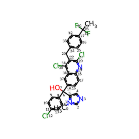 Cn1cncc1C(O)(c1ccc(Cl)cc1)c1ccc2nc(Cl)c(Cc3ccc(C(C)(F)F)cc3)c(Cl)c2c1